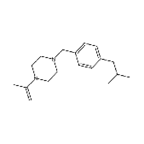 C=C(C)N1CCN(Cc2ccc(CC(C)C)cc2)CC1